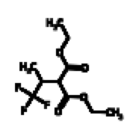 CCOC(=O)C(C(=O)OCC)C(C)C(F)(F)F